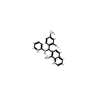 Cc1ccc(C(Nc2ccccn2)c2ccc3cccnc3c2O)c(F)c1